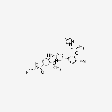 COc1cc(C(=O)NCCF)ccc1Nc1ncc(-c2ccc(C#N)c(OC(C)Cn3cncn3)c2)cn1